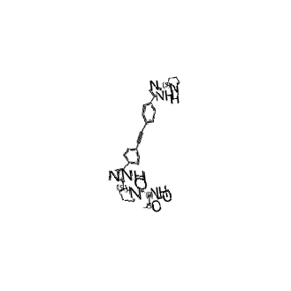 C[C@@H]1OC(=O)N[C@H]1C(=O)N1CCC[C@H]1c1ncc(-c2ccc(C#Cc3ccc(-c4cnc([C@@H]5CCCN5)[nH]4)cc3)cc2)[nH]1